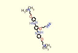 CN(C)CCCOc1ccc2nc(-c3ccc(-c4nc5ccc(OCCCN(C)C)cc5[nH]4)c(OCCCN=[N+]=[N-])c3)[nH]c2c1